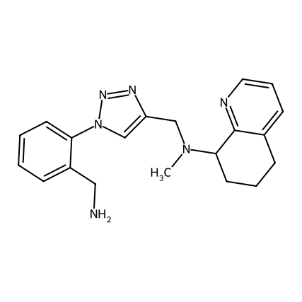 CN(Cc1cn(-c2ccccc2CN)nn1)C1CCCc2cccnc21